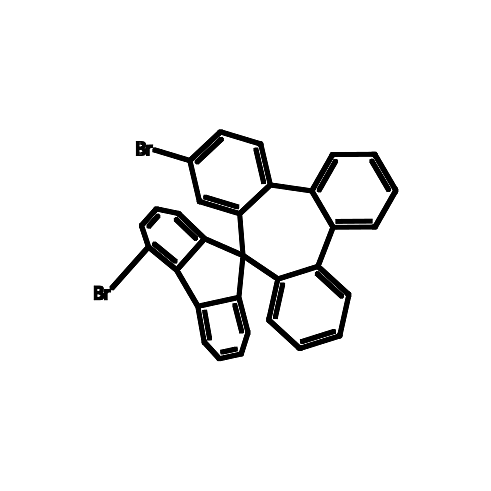 Brc1ccc2c(c1)C1(c3ccccc3-c3ccccc3-2)c2ccccc2-c2c(Br)cccc21